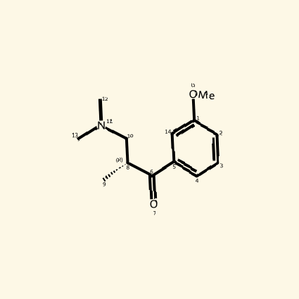 COc1cccc(C(=O)[C@H](C)CN(C)C)c1